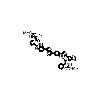 COC(=O)N[C@H](C(=O)N1CC=CC1c1nc2ccc(-c3csc4c(-c5ccc(-c6cnc(C7CC8(CN7C(=O)[C@H](NC(=O)OC)c7ccccc7)OCCO8)[nH]6)cc5)csc34)cc2[nH]1)C(C)C